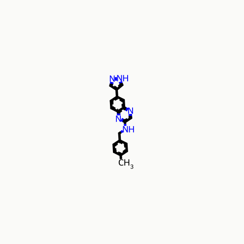 Cc1ccc(CNc2cnc3cc(-c4cn[nH]c4)ccc3n2)cc1